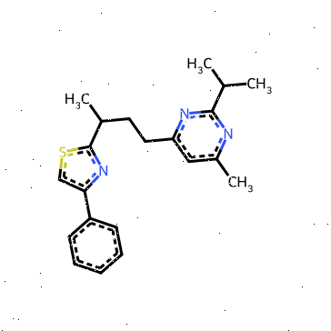 Cc1cc(CCC(C)c2nc(-c3ccccc3)cs2)nc(C(C)C)n1